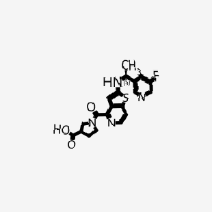 C[C@H](Nc1cc2c(C(=O)N3CCC(C(=O)O)C3)nccc2s1)c1cncc(F)c1